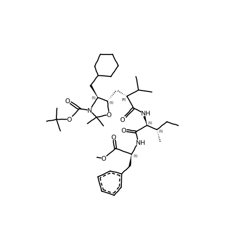 CC[C@H](C)[C@H](NC(=O)[C@H](C[C@@H]1OC(C)(C)N(C(=O)OC(C)(C)C)[C@H]1CC1CCCCC1)C(C)C)C(=O)N[C@@H](Cc1ccccc1)C(=O)OC